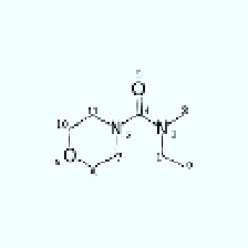 CCN(C)C(=O)N1CCOCC1